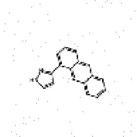 c1ccc2cc3c(-c4cc[nH]n4)cccc3cc2c1